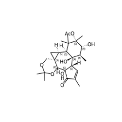 CC(=O)O[C@]1(C)[C@H](O)[C@@H](C)[C@]2(O)[C@@H]3C=C(C)C(=O)[C@@]3(O)[C@@H]3OC(C)(C)OC[C@@]34C[C@H]4[C@H]2C1(C)C